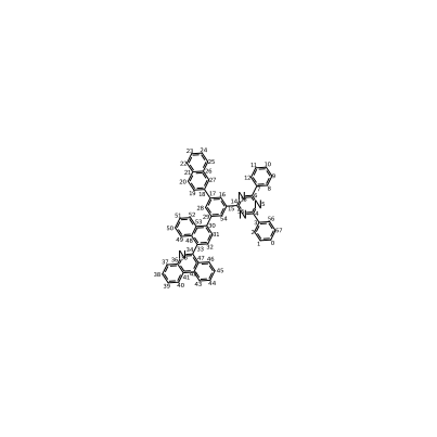 c1ccc(-c2nc(-c3ccccc3)nc(-c3cc(-c4ccc5ccccc5c4)cc(-c4ccc(-c5nc6ccccc6c6ccccc56)c5ccccc45)c3)n2)cc1